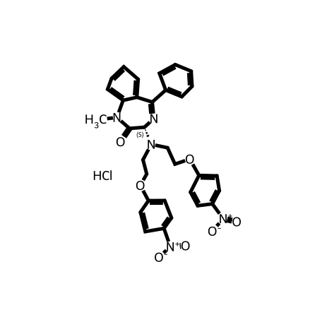 CN1C(=O)[C@@H](N(CCOc2ccc([N+](=O)[O-])cc2)CCOc2ccc([N+](=O)[O-])cc2)N=C(c2ccccc2)c2ccccc21.Cl